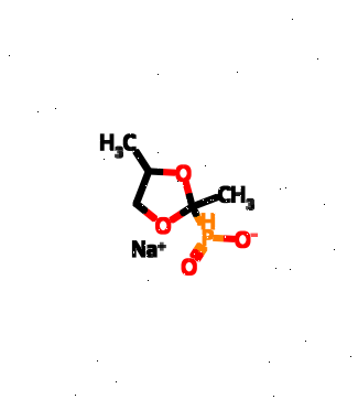 CC1COC(C)([PH](=O)[O-])O1.[Na+]